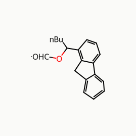 CCCCC(O[C]=O)c1cccc2c1Cc1ccccc1-2